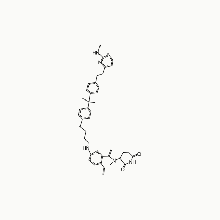 C=Cc1ccc(NCCCCc2ccc(C(C)(C)c3ccc(CCc4ccnc(NC)n4)cc3)cc2)cc1C(=C)N(C)C1CCC(=O)NC1=O